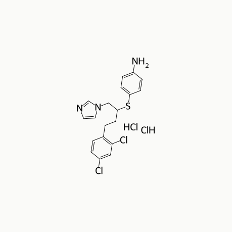 Cl.Cl.Nc1ccc(SC(CCc2ccc(Cl)cc2Cl)Cn2ccnc2)cc1